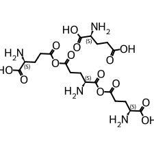 N[C@@H](CCC(=O)O)C(=O)O.N[C@@H](CCC(=O)OC(=O)CC[C@H](N)C(=O)OC(=O)CC[C@H](N)C(=O)O)C(=O)O